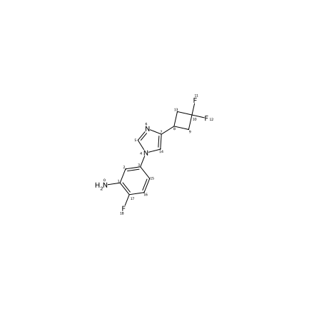 Nc1cc(-n2cnc(C3CC(F)(F)C3)c2)ccc1F